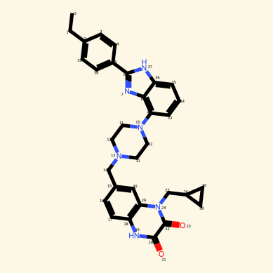 CCc1ccc(-c2nc3c(N4CCN(Cc5ccc6[nH]c(=O)c(=O)n(CC7CC7)c6c5)CC4)cccc3[nH]2)cc1